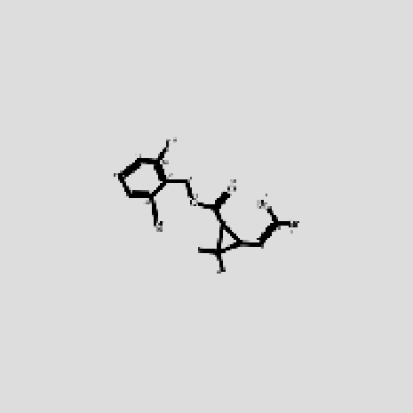 CC1(C)C(C=C(Br)Br)C1C(=O)OCc1c(F)cccc1Br